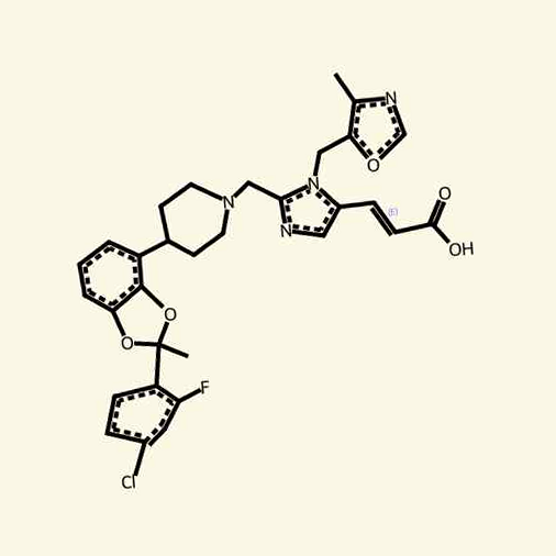 Cc1ncoc1Cn1c(/C=C/C(=O)O)cnc1CN1CCC(c2cccc3c2OC(C)(c2ccc(Cl)cc2F)O3)CC1